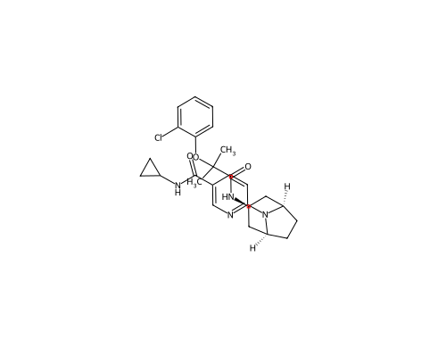 CC(C)(Oc1ccccc1Cl)C(=O)N[C@H]1C[C@H]2CC[C@@H](C1)N2c1ccc(C(=O)NC2CC2)cn1